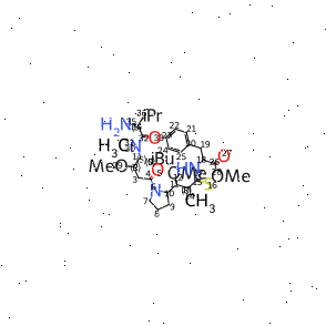 CC[C@H](C)[C@@H]([C@@H](CC(=O)N1CCCC1C(OC)[C@@H](C)C(=S)NC(Cc1ccccc1)C(=O)OC)OC)N(C)C(=O)[C@@H](N)C(C)C